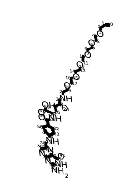 C#CCOCCOCCOCCOCCOCCOCCNCC(=O)CC[C@H](NC(=O)c1ccc(NCc2cnc3nc(N)[nH]c(=O)c3n2)cc1)C(=O)O